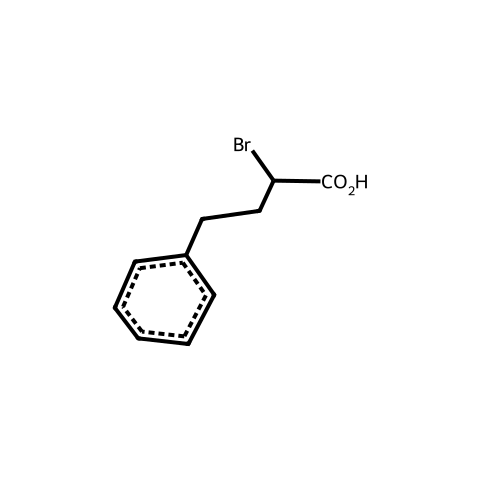 O=C(O)C(Br)CCc1ccccc1